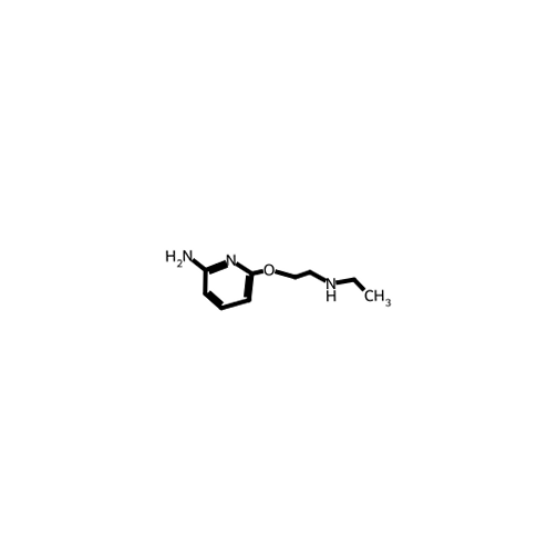 CCNCCOc1cccc(N)n1